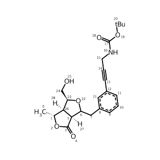 C[C@H]1OC(=O)[C@@H]2C(Cc3cccc(C#CCNC(=O)OC(C)(C)C)c3)O[C@H](CO)[C@@H]21